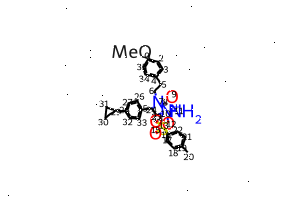 COc1ccc(CCN2C(=O)[N+](N)(OS(=O)(=O)c3ccc(C)cc3)CC2c2ccc(C3CC3)cc2)cc1